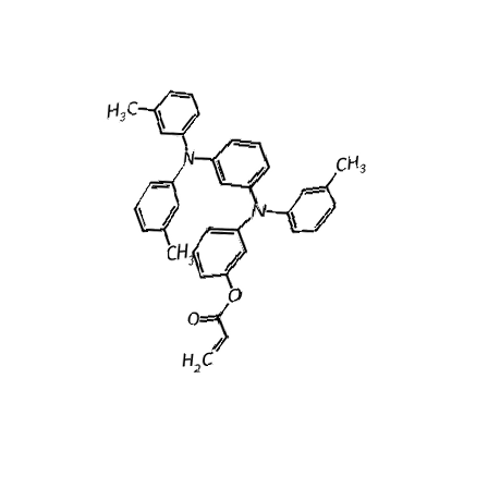 C=CC(=O)Oc1cccc(N(c2cccc(C)c2)c2cccc(N(c3cccc(C)c3)c3cccc(C)c3)c2)c1